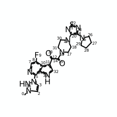 CN1C=CN(c2ncc(F)c3c(C(=O)C(=O)N4CCN(c5nsnc5N5CCCC5)CC4)c[nH]c23)N1